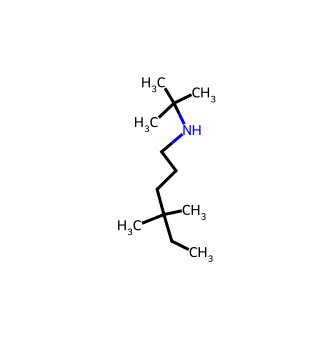 CCC(C)(C)CCCNC(C)(C)C